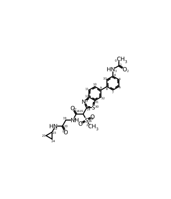 CC(=O)Nc1cccc(-c2ccc3nc(C(C(=O)NCC(=O)NC4CC4)S(C)(=O)=O)sc3c2)c1